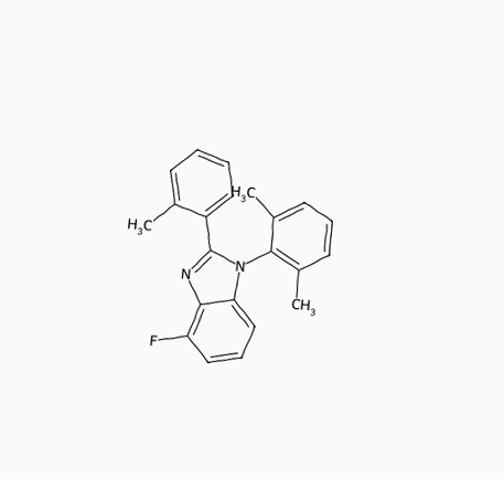 Cc1ccccc1-c1nc2c(F)cccc2n1-c1c(C)cccc1C